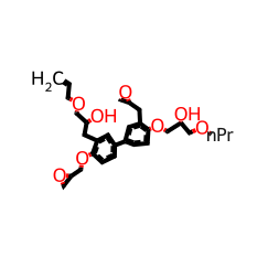 C=CCOCC(O)Cc1cc(-c2ccc(OCC(O)COCCC)c(CC3CO3)c2)ccc1OCC1CO1